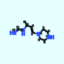 CC(/C=C/N1CCNCC1)NC=N